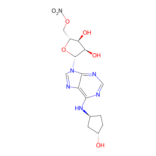 O=[N+]([O-])OC[C@H]1O[C@@H](n2cnc3c(N[C@H]4CC[C@H](O)C4)ncnc32)[C@H](O)[C@@H]1O